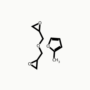 C(OCC1CO1)C1CO1.Cc1ccco1